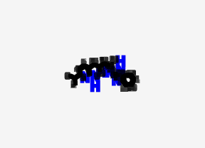 CC(C)c1ccc2c(n1)NCC(C[C@H](C)Nc1nc3ccccc3[nH]1)C2